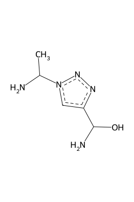 CC(N)n1cc(C(N)O)nn1